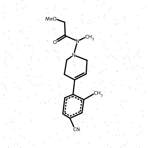 COCC(=O)N(C)N1CC=C(c2ccc(C#N)cc2C)CC1